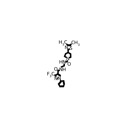 Cc1nc(C2CCN(C(=O)NCCNC(=O)c3cn(-c4ccccc4)nc3C(F)(F)F)CC2)sc1C